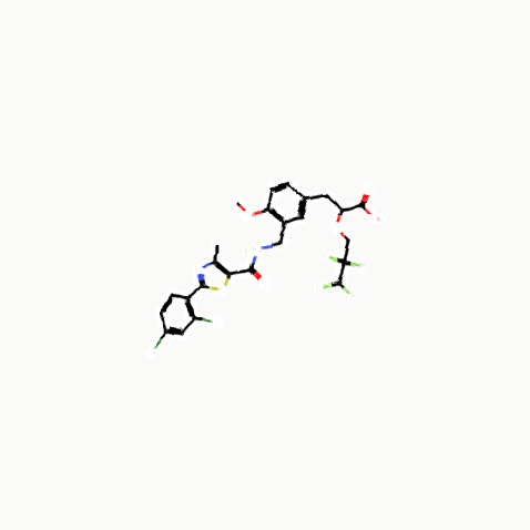 COc1ccc(CC(OCC(F)(F)C(F)F)C(=O)O)cc1CNC(=O)c1sc(-c2ccc(Cl)cc2Cl)nc1C